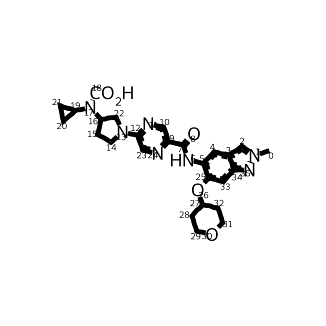 Cn1cc2cc(NC(=O)c3cnc(N4CCC(N(C(=O)O)C5CC5)C4)cn3)c(OC3CCOCC3)cc2n1